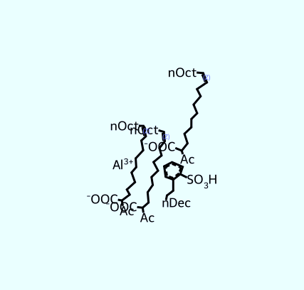 CCCCCCCC/C=C\CCCCCCCCC(C(C)=O)C(=O)[O-].CCCCCCCC/C=C\CCCCCCCCC(C(C)=O)C(=O)[O-].CCCCCCCC/C=C\CCCCCCCCC(C(C)=O)C(=O)[O-].CCCCCCCCCCCCc1ccccc1S(=O)(=O)O.[Al+3]